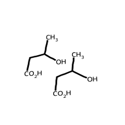 CC(O)CC(=O)O.CC(O)CC(=O)O